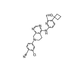 N#Cc1ccc(N2CCc3c(ncnc3Nc3ccc(C4(O)CCC4)c(F)n3)C2)cc1Cl